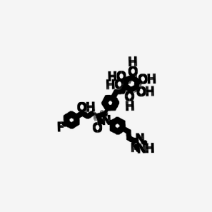 O=C1[C@H](CC[C@H](O)c2ccc(F)cc2)[C@@H](c2ccc(CCC3(O)[C@H](O)[C@@H](O)[C@H](O)[C@@H](O)[C@@H]3O)cc2)N1c1ccc(CCc2nc[nH]n2)cc1